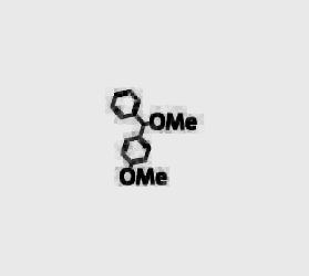 COc1ccc(C(OC)c2ccccc2)cc1